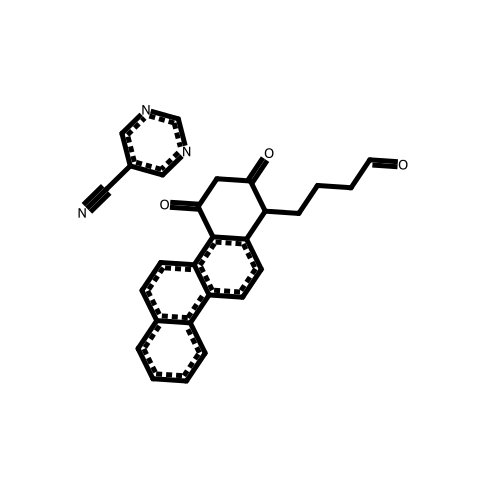 N#Cc1cncnc1.O=CCCCC1C(=O)CC(=O)c2c1ccc1c2ccc2ccccc21